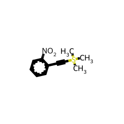 CS(C)(C)C#Cc1ccccc1[N+](=O)[O-]